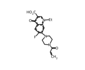 C=CC(=O)N1CCN(c2cc3c(cc2F)c(=O)c(C(=O)O)cn3CC)CC1